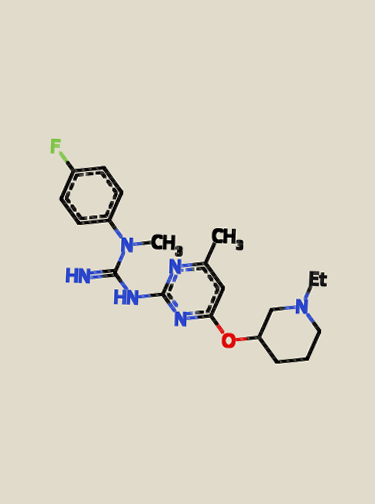 CCN1CCCC(Oc2cc(C)nc(NC(=N)N(C)c3ccc(F)cc3)n2)C1